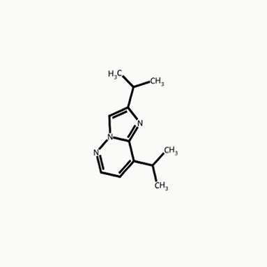 CC(C)c1cn2nccc(C(C)C)c2n1